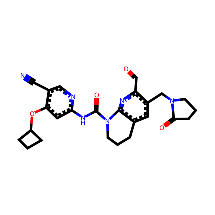 N#Cc1cnc(NC(=O)N2CCCc3cc(CN4CCCC4=O)c(C=O)nc32)cc1OC1CCC1